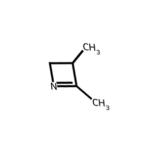 CC1=NCC1C